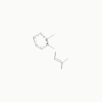 CC(C)=CSc1ccccc1N